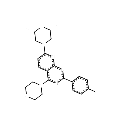 C[C@@H]1CN(c2ccc3c(N4CCOCC4)nc(-c4ccc(Cl)cc4)nc3n2)C[C@H](C)O1